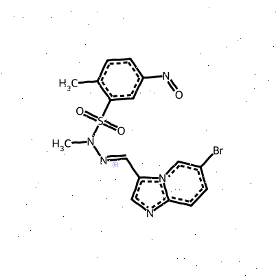 Cc1ccc(N=O)cc1S(=O)(=O)N(C)/N=C/c1cnc2ccc(Br)cn12